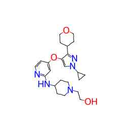 OCCN1CCC(Nc2cc(Oc3cn(C4CC4)nc3C3CCOCC3)ccn2)CC1